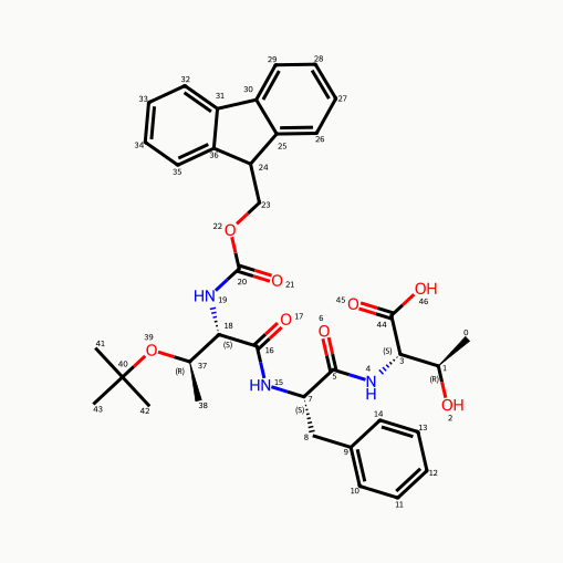 C[C@@H](O)[C@H](NC(=O)[C@H](Cc1ccccc1)NC(=O)[C@@H](NC(=O)OCC1c2ccccc2-c2ccccc21)[C@@H](C)OC(C)(C)C)C(=O)O